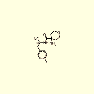 Cc1ccc(C[C@@H](C#N)NC(=O)C2(N)CCOCC2)cc1